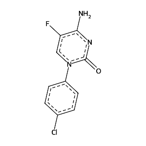 Nc1nc(=O)n(-c2ccc(Cl)cc2)cc1F